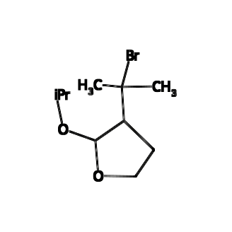 CC(C)OC1OCCC1C(C)(C)Br